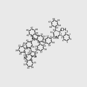 CC1C(c2ccccc2)=NC(c2ccc(-c3ccc(-c4sc5c(c(-c6ccccc6)nc6ccccc65)c4-c4cccc(-n5c6ccccc6c6ccccc65)c4)cc3)cc2)=CC1c1ccccc1